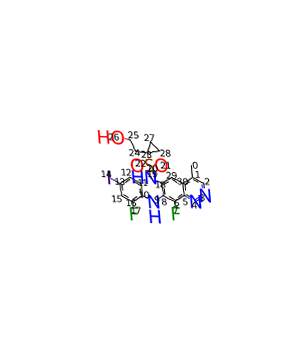 Cc1cnnc2c(F)c(Nc3ccc(I)cc3F)c(NS(=O)(=O)C3(CCO)CC3)cc12